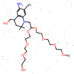 CCOCCOCCOCCOC(CN1c2cc(C(C)C)c(N)cc2C(CO)CC1(C)C)OCCOCCOCCO